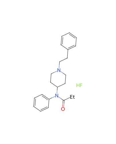 CCC(=O)N(c1ccccc1)C1CCN(CCc2ccccc2)CC1.F